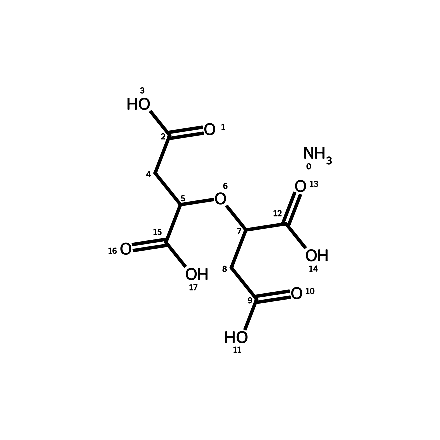 N.O=C(O)CC(OC(CC(=O)O)C(=O)O)C(=O)O